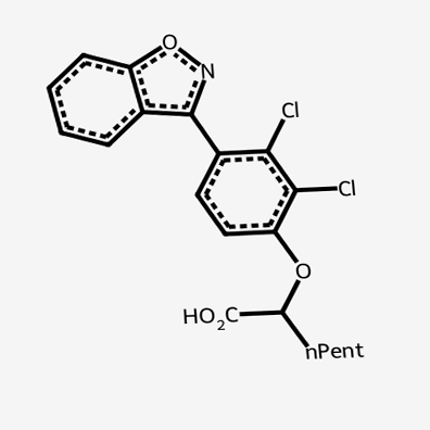 CCCCCC(Oc1ccc(-c2noc3ccccc23)c(Cl)c1Cl)C(=O)O